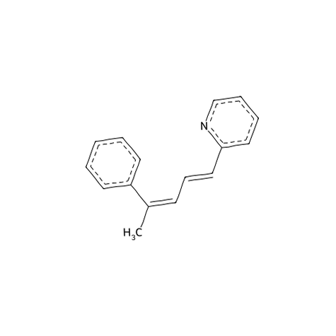 CC(=CC=Cc1ccccn1)c1ccccc1